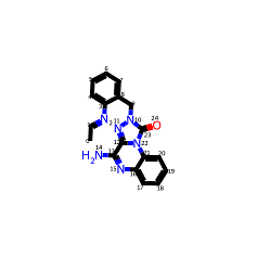 C/C=N/c1ccccc1Cn1nc2c(N)nc3ccccc3n2c1=O